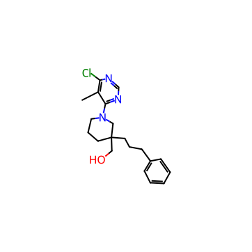 Cc1c(Cl)ncnc1N1CCCC(CO)(CCCc2ccccc2)C1